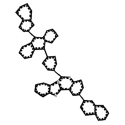 c1ccc2cc(-c3ccc4nc(-c5ccc(-c6c7ccccc7c(-c7ccc8ccccc8c7)c7ccccc67)cc5)n5c6ccccc6nc5c4c3)ccc2c1